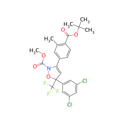 COC(=O)N1OC(c2cc(Cl)cc(Cl)c2)(C(F)(F)F)C=C1c1ccc(C(=O)OC(C)(C)C)c(C)c1